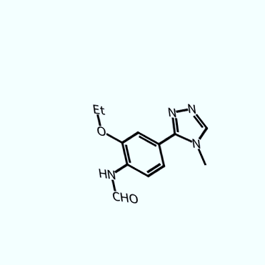 CCOc1cc(-c2nncn2C)ccc1NC=O